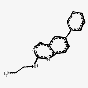 NCCNc1ncc2cc(-c3ccccc3)ccc2n1